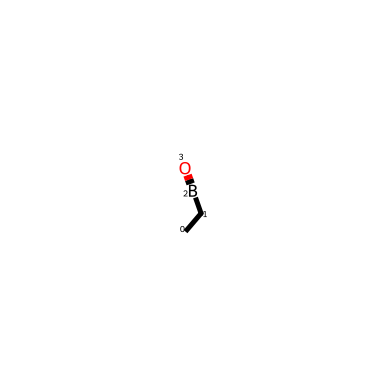 CCB=O